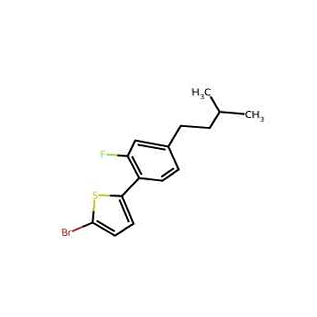 CC(C)CCc1ccc(-c2ccc(Br)s2)c(F)c1